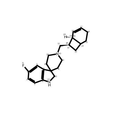 Fc1ccc2c(c1)C1(CCN(C[C@@H]3CC4CCC=C[C@@H]43)CC1)CN2